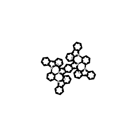 O=c1c2cc3c(=O)n(-c4c(-n5c6ccccc6c6ccccc65)cccc4-n4c5ccccc5c5ccccc54)c(=O)c3cc2c(=O)n1-c1c(-n2c3ccccc3c3ccccc32)cccc1-n1c2ccccc2c2ccccc21